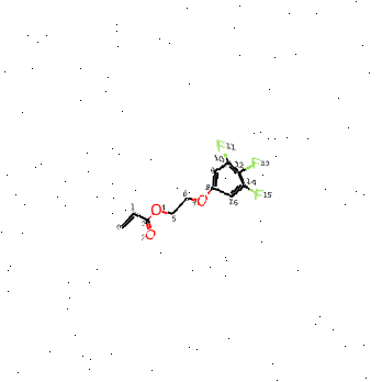 C=CC(=O)OCCOc1cc(F)c(F)c(F)c1